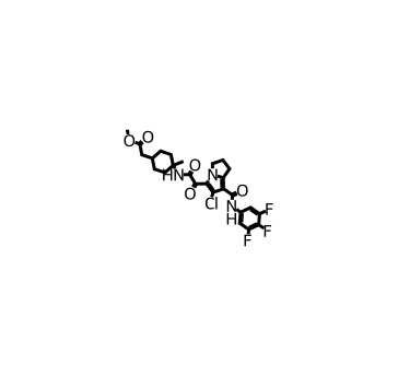 COC(=O)CC1CCC(C)(NC(=O)C(=O)c2c(Cl)c(C(=O)Nc3cc(F)c(F)c(F)c3)c3n2CCC3)CC1